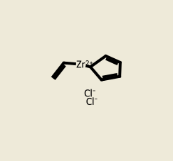 C=[CH][Zr+2][CH]1C=CC=C1.[Cl-].[Cl-]